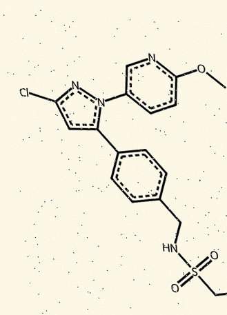 CCS(=O)(=O)NCc1ccc(-c2cc(Cl)nn2-c2ccc(OC)nc2)cc1